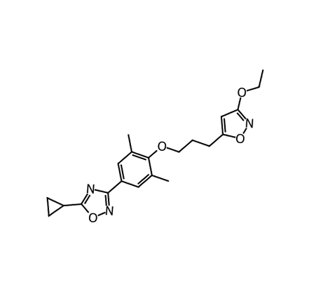 CCOc1cc(CCCOc2c(C)cc(-c3noc(C4CC4)n3)cc2C)on1